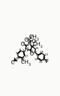 [C-]#[N+]c1ccc(N2C(=O)N(S(C)(=O)=O)[C@](C)(CCc3ccc(F)cc3)C2=O)cc1C